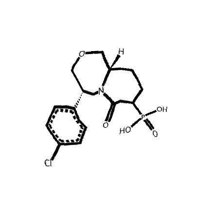 O=C1C(P(=O)(O)O)CC[C@H]2COC[C@@H](c3ccc(Cl)cc3)N12